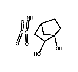 N=C=O.N=C=O.OC1CC2CCC1(O)C2